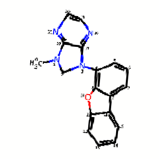 CN1CN(c2cccc3c2oc2ccccc23)c2nccnc21